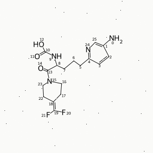 Nc1ccc(CCCC(NC(=O)O)C(=O)N2CCC(=C(F)F)CC2)nc1